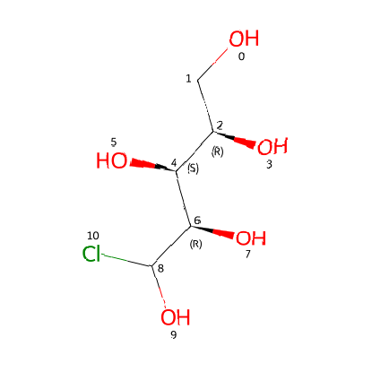 OC[C@@H](O)[C@H](O)[C@@H](O)C(O)Cl